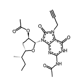 C#CCn1c(=O)n([C@@H]2O[C@H]([C@@H](C)CC)C[C@H]2OC(C)=O)c2nc(NC(C)=O)[nH]c(=O)c21